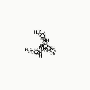 COc1ccc(NC(=O)Cn2c(=O)c(CNc3ccc(C)cc3)cc3cc4c(cc32)OCCO4)cc1